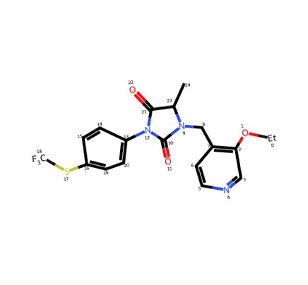 CCOc1cnccc1CN1C(=O)N(c2ccc(SC(F)(F)F)cc2)C(=O)C1C